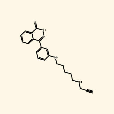 C#CCNCCCCCNc1cccc(-c2n[nH]c(=O)c3ccccc23)c1